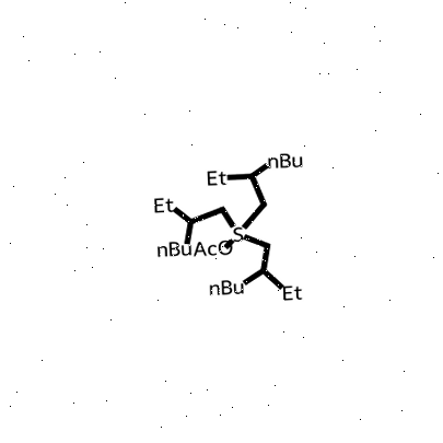 CCCCC(CC)CS(CC(CC)CCCC)(CC(CC)CCCC)OC(C)=O